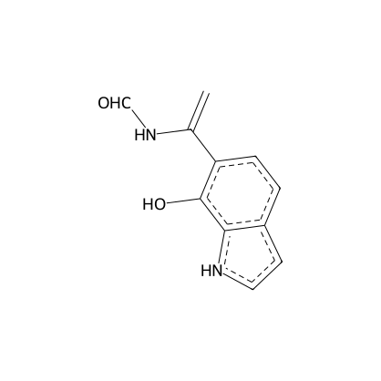 C=C(NC=O)c1ccc2cc[nH]c2c1O